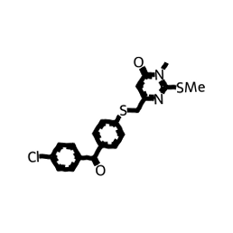 CSc1nc(CSc2ccc(C(=O)c3ccc(Cl)cc3)cc2)cc(=O)n1C